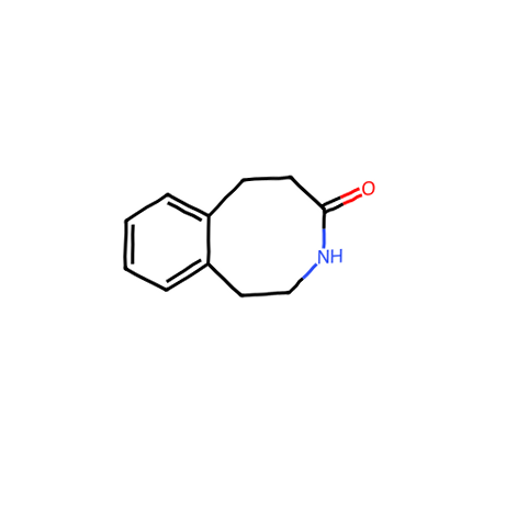 O=C1CCc2ccccc2CCN1